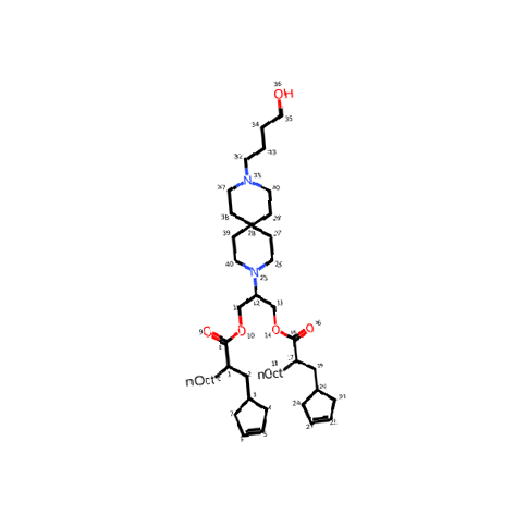 CCCCCCCCC(CC1CC=CC1)C(=O)OCC(COC(=O)C(CCCCCCCC)CC1CC=CC1)N1CCC2(CCN(CCCCO)CC2)CC1